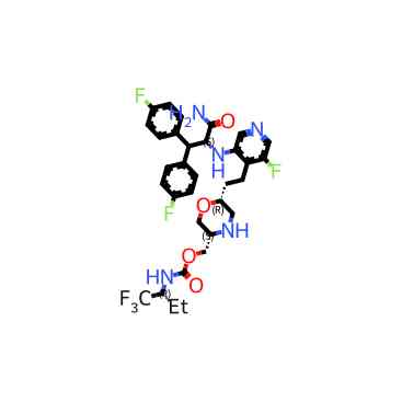 CC[C@@H](NC(=O)OC[C@@H]1CO[C@H](CCc2c(F)cncc2N[C@H](C(N)=O)C(c2ccc(F)cc2)c2ccc(F)cc2)CN1)C(F)(F)F